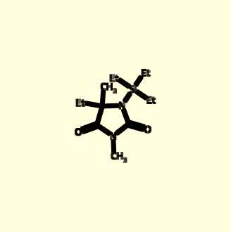 CCC1(C)C(=O)N(C)C(=O)N1[Si](CC)(CC)CC